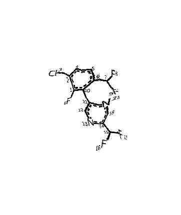 Fc1c(Cl)ccc(C(F)F)c1-c1cnc(C(F)F)cn1